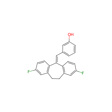 Oc1cccc(C=C2c3ccc(F)cc3CCc3cc(F)ccc32)c1